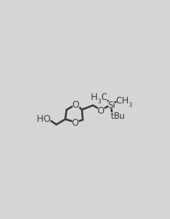 CC(C)(C)[Si](C)(C)OCC1COC(CO)CO1